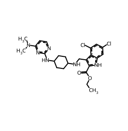 CCOC(=O)c1[nH]c2cc(Cl)cc(Cl)c2c1CNC1CCC(Nc2nccc(N(C)C)n2)CC1